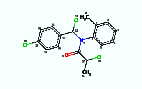 Cc1ccccc1N(C(=O)C(C)Cl)C(Cl)c1ccc(Cl)cc1